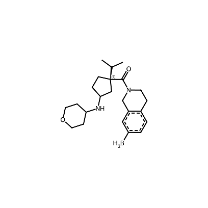 Bc1ccc2c(c1)CN(C(=O)[C@@]1(C(C)C)CCC(NC3CCOCC3)C1)CC2